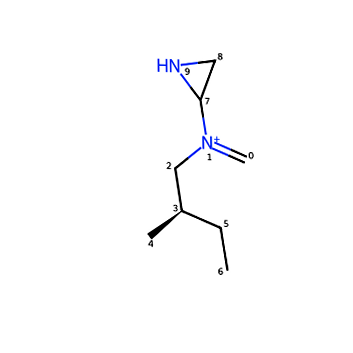 C=[N+](C[C@H](C)CC)C1CN1